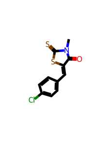 CN1C(=O)/C(=C/c2ccc(Cl)cc2)SC1=S